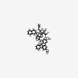 COc1ccc(C(OC[C@H]2OC[C@H](Oc3ccc4ccccc4c3)[C@@H]2OP(OCCC#N)N(C(C)C)C(C)C)(c2ccccc2)c2ccc(OC)cc2)cc1